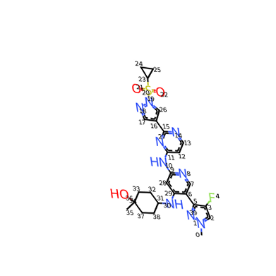 Cn1cc(F)c(-c2cnc(Nc3ccnc(-c4cnn(S(=O)(=O)C5CC5)c4)n3)cc2NC2CCC(C)(O)CC2)n1